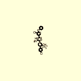 CC(C)[C@@H](NC(=O)c1cnc(Oc2ccccc2)c(Cl)c1)C(=O)N1CCC(c2ccc(Cl)cc2)C(C)(C)C1